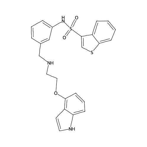 O=S(=O)(Nc1cccc(CNCCOc2cccc3[nH]ccc23)c1)c1csc2ccccc12